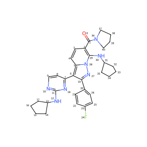 O=C(c1ccc2c(-c3ccnc(NC4CCCC4)n3)c(-c3ccc(F)cc3)nn2c1NC1CCCC1)N1CCCC1